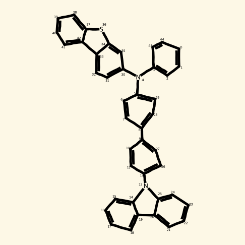 c1ccc(N(c2ccc(-c3ccc(-n4c5ccccc5c5ccccc54)cc3)cc2)c2ccc3c(c2)sc2ccccc23)cc1